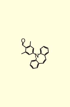 Cc1cc(N2c3ccccc3C=Cc3ccccc32)cc(C)c1C=O